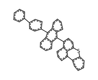 c1ccc(-c2ccc(-c3c4ccccc4c(-c4ccc5c6c(cccc46)-c4ccccc4S5)c4ccccc34)cc2)cc1